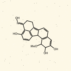 COC1C2=C(C=CC3=C4CCC(=NO)c5c(O)ccc(c54)C32)C=C(O)C1O